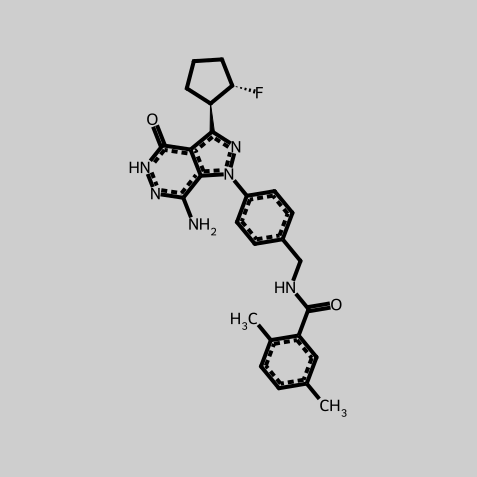 Cc1ccc(C)c(C(=O)NCc2ccc(-n3nc([C@H]4CCC[C@@H]4F)c4c(=O)[nH]nc(N)c43)cc2)c1